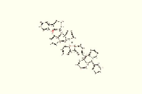 c1ccc(-c2c3ccccc3c(-c3ccc4oc5c(-c6c7ccccc7c(-c7cccc8c7oc7ccccc78)c7ccccc67)cccc5c4c3)c3ccccc23)cc1